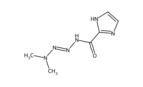 CN(C)N=NNC(=O)c1ncc[nH]1